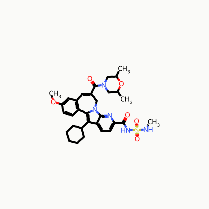 CNS(=O)(=O)NC(=O)c1ccc2c(C3CCCCC3)c3n(c2n1)CC(C(=O)N1CC(C)OC(C)C1)=Cc1cc(OC)ccc1-3